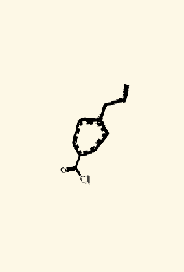 C=CCc1ccc(C(=O)Cl)cc1